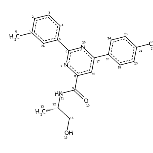 Cc1cccc(-c2nc(C(=O)N[C@@H](C)CO)cc(-c3ccc(Cl)cc3)n2)c1